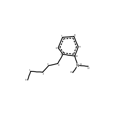 CCCCCc1cc[c]cc1N(C)C